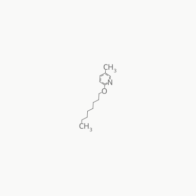 CCCCCCCCOc1ccc(C)cn1